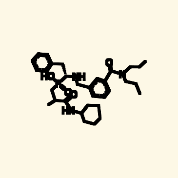 CCCN(CCC)C(=O)c1cccc(CN[C@@H](Cc2ccccc2)P(=O)(O)CC(C)C(=O)NC2CCCCC2)c1